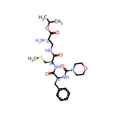 CSC[C@H](NC(=O)[C@H](Cc1ccccc1)NC(=O)N1CCOCC1)C(=O)NC[C@H](N)C(=O)OC(C)C